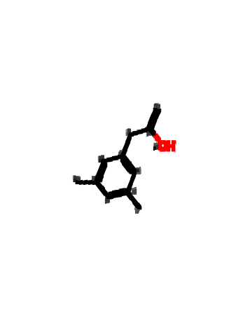 C=C(O)Cc1cc(C)cc(C)c1